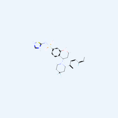 C=C(/C=C\C(F)=C/C)[C@H]1CC(F)(F)CCN1[C@@H]1CCOc2cc(S(=O)(=O)Nc3ncns3)ccc21